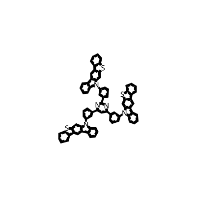 c1cc(-c2cc(-c3cccc(-n4c5ccccc5c5cc6c(cc54)sc4ccccc46)c3)nc(-c3cccc(-n4c5ccccc5c5cc6c(cc54)sc4ccccc46)c3)n2)cc(-n2c3ccccc3c3cc4c(cc32)sc2ccccc24)c1